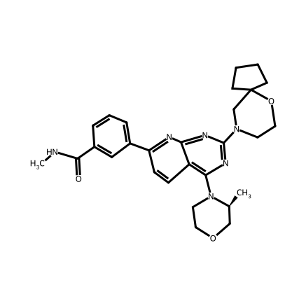 CNC(=O)c1cccc(-c2ccc3c(N4CCOC[C@@H]4C)nc(N4CCOC5(CCCC5)C4)nc3n2)c1